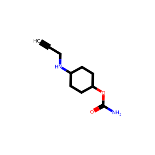 C#CCNC1CCC(OC(N)=O)CC1